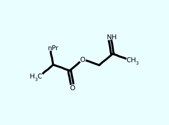 CCCC(C)C(=O)OCC(C)=N